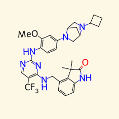 COc1cc(N2CC3CC2CN3C2CCC2)ccc1Nc1ncc(C(F)(F)F)c(NCc2cccc3c2C(C)(C)C(=O)N3)n1